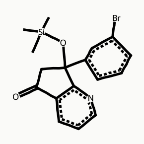 C[Si](C)(C)OC1(c2cccc(Br)c2)CC(=O)c2cccnc21